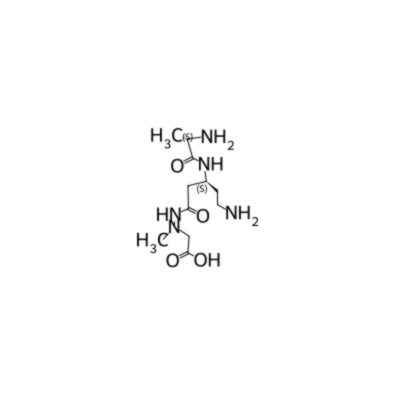 C[C@H](N)C(=O)N[C@@H](CCN)CC(=O)NN(C)CC(=O)O